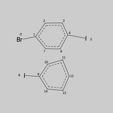 Brc1ccc(I)cc1.Ic1ccccc1